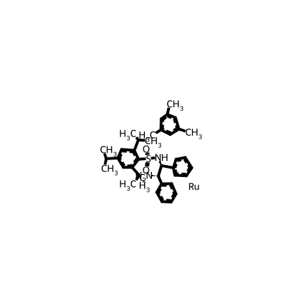 CC(C)c1cc(C(C)C)c(S(=O)(=O)N[C@@H](c2ccccc2)[C@@H](N)c2ccccc2)c(C(C)C)c1.Cc1cc(C)cc(C)c1.[Ru]